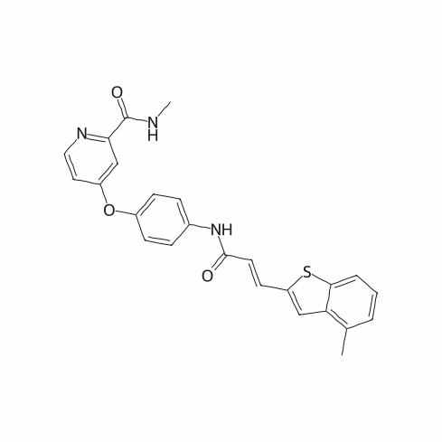 CNC(=O)c1cc(Oc2ccc(NC(=O)C=Cc3cc4c(C)cccc4s3)cc2)ccn1